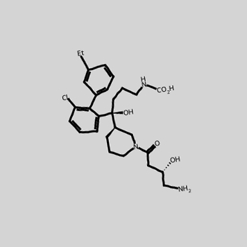 CCc1cccc(-c2c(Cl)cccc2[C@](O)(CCCNC(=O)O)[C@@H]2CCCN(C(=O)C[C@H](O)CN)C2)c1